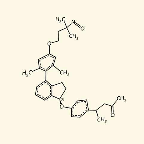 CC(=O)CC(C)c1ccc(O[C@@H]2CCc3c(-c4c(C)cc(OCCC(C)(C)N=O)cc4C)cccc32)cc1